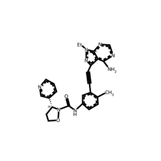 CCn1nc(C#Cc2cc(NC(=O)N3OCC[C@@H]3c3cccnc3)ccc2C)c2c(N)ncnc21